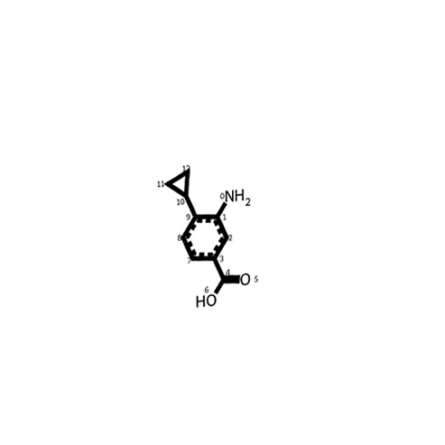 Nc1cc(C(=O)O)ccc1C1CC1